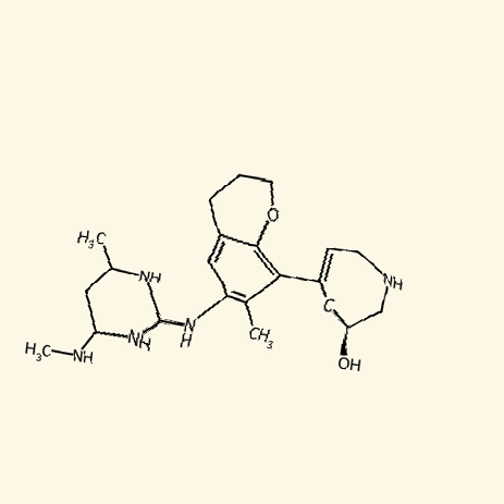 CNC1CC(C)NC(Nc2cc3c(c(C4=CCNC[C@@H](O)C4)c2C)OCCC3)N1